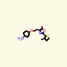 Cc1ccsc1-c1nc(CCOc2ccc(N)cc2)c(C)o1